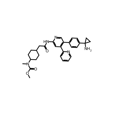 COC(=O)N(C)C1CCC(CC(=O)Nc2cc(-c3ccccn3)c(-c3ccc(C4(N)CC4)cc3)cn2)CC1